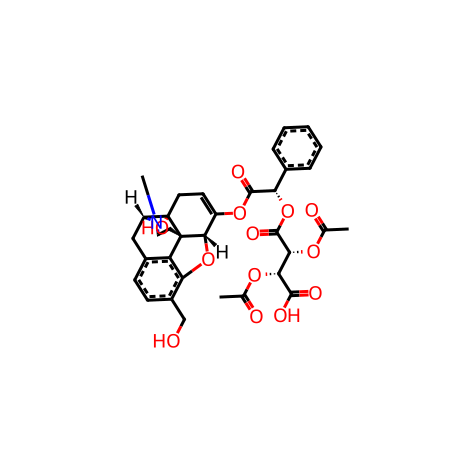 CC(=O)O[C@@H](C(=O)O)[C@@H](OC(C)=O)C(=O)O[C@H](C(=O)OC1=CC[C@@]2(O)[C@H]3Cc4ccc(CO)c5c4[C@@]2(CCN3C)[C@H]1O5)c1ccccc1